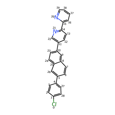 Clc1ccc(-c2ccc3cc(-c4ccc(-c5ccccn5)nc4)ccc3c2)cc1